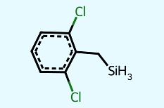 [SiH3]Cc1c(Cl)cccc1Cl